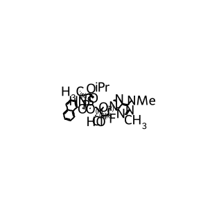 CNc1nc(C)nc2c1ncn2[C@@H]1O[C@](CCl)(COP(=S)(N[C@H](C)C(=O)OC(C)C)Oc2cccc3ccccc23)[C@@H](O)[C@H]1F